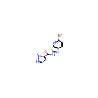 Cn1nccc1C(=O)Nc1nc2ccc(Br)nc2s1